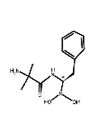 CC(C)(N)C(=O)N[C@@H](Cc1ccccc1)B(O)O